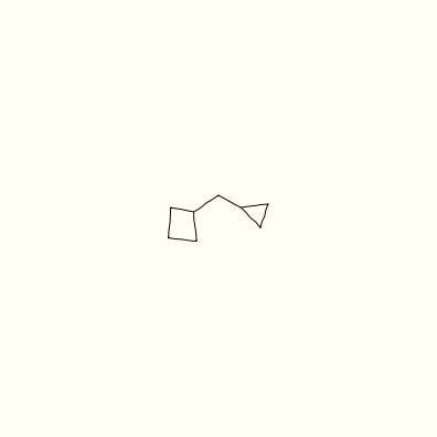 C1CC(CC2CC2)C1